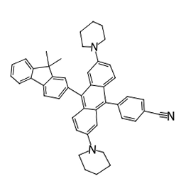 CC1(C)c2ccccc2-c2ccc(-c3c4ccc(N5CCCCC5)cc4c(-c4ccc(C#N)cc4)c4ccc(N5CCCCC5)cc34)cc21